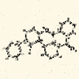 O=C1c2ccccc2C(=O)c2c1cccc2-c1cccc2c1Cc1ccccc1-2